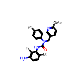 CCc1ccc(N)c(CC)c1NC(=O)N(Cc1ccc(OC)nc1)c1ccc(C(C)C)cc1